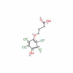 O=C(O)CCCOc1c(Cl)c(Cl)c(O)c(Cl)c1Cl